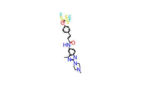 Cc1nc(N2CCN(C)CC2)nc2ccc(NC(=O)C=Cc3ccc(OC(SF)(SF)SF)cc3)cc12